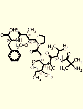 CC[C@H](C)[C@@H]([C@@H](CC(=O)N1CCC[C@H]1[C@H](OC)[C@@H](C)C(=S)N[C@@H](Cc1ccccc1)C(=O)O)OC)N(C)C(=O)[C@@H](NC(=O)C(C)(C)N)C(C)C